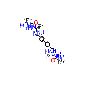 CC(C)C(N)C(=O)N[C@H](c1ncc(-c2ccc(-c3ccc(-c4cnc([C@@H](NC(=O)C(N)C(C)C)C(C)C)[nH]4)cc3)cc2)[nH]1)C(C)C